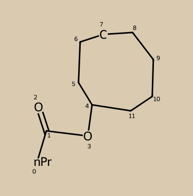 [CH2]CCC(=O)OC1CCCCCCC1